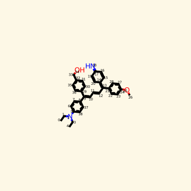 CCN(CC)c1ccc(C(=CC=CC(=C2C=CC(=N)C=C2)c2ccc(OC)cc2)c2ccc(CO)cc2)cc1